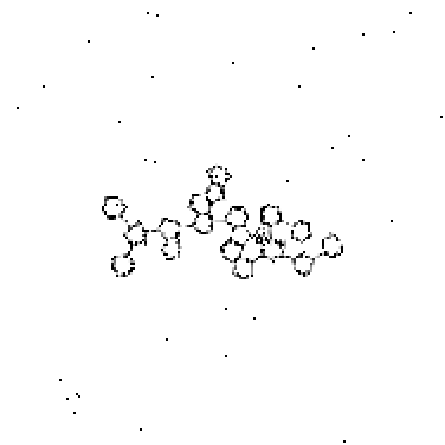 CC1(C)c2cccc(-c3ccc(-c4ccc(-c5nc(-c6ccccc6)nc(-c6ccccc6)n5)c5ccccc45)c4ccc5c6ccccc6sc5c34)c2-c2ccc3cccc(-c4nc(-c5cccc(-c6ccccc6)c5)nc(-c5ccccc5-c5ccccc5)n4)c3c21